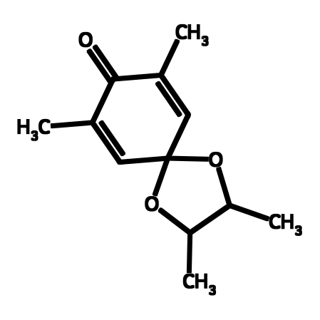 CC1=CC2(C=C(C)C1=O)OC(C)C(C)O2